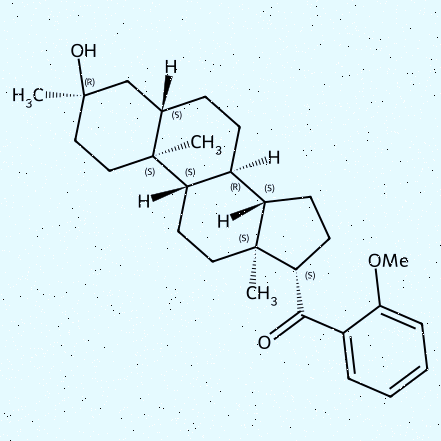 COc1ccccc1C(=O)[C@H]1CC[C@H]2[C@@H]3CC[C@H]4C[C@](C)(O)CC[C@]4(C)[C@H]3CC[C@]12C